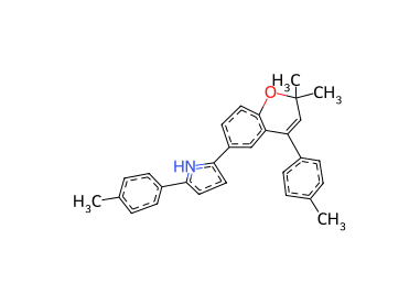 Cc1ccc(C2=CC(C)(C)Oc3ccc(-c4ccc(-c5ccc(C)cc5)[nH]4)cc32)cc1